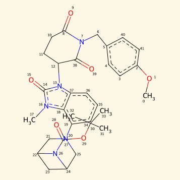 COc1ccc(CN2C(=O)CCC(n3c(=O)n(C)c4c(N5CC6CC(C5)N6C(=O)OC(C)(C)C)cccc43)C2=O)cc1